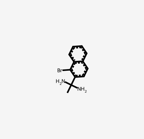 CC(N)(N)c1ccc2ccccc2c1Br